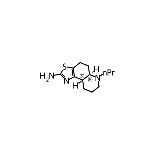 CCCN1CCC[C@@H]2c3nc(N)sc3CC[C@H]21